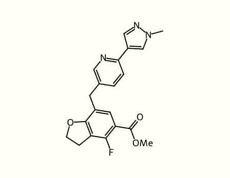 COC(=O)c1cc(Cc2ccc(-c3cnn(C)c3)nc2)c2c(c1F)CCO2